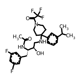 CC(=O)N[C@@H](Cc1cc(F)cc(F)c1)[C@H](O)CNC1(c2cccc(C(C)C)c2)CCN(C(=O)C(F)(F)F)CC1